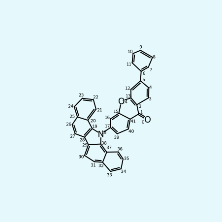 O=c1c2ccc(-c3ccccc3)cc2oc2cc(-n3c4c5ccccc5ccc4c4ccc5ccccc5c43)ccc12